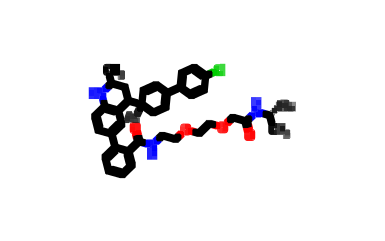 CC(=O)C1(C2CC(C)Nc3ccc(-c4ccccc4C(=O)NCCOCCOCC(=O)N[C@@H](C)C(C)(C)C)cc32)C=CC(c2ccc(Cl)cc2)=CC1